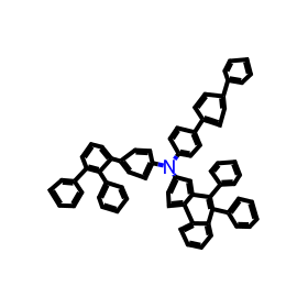 c1ccc(-c2ccc(-c3ccc(N(c4ccc(-c5cccc(-c6ccccc6)c5-c5ccccc5)cc4)c4ccc5c(c4)c(-c4ccccc4)c(-c4ccccc4)c4ccccc45)cc3)cc2)cc1